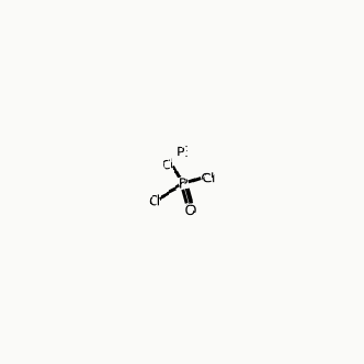 O=P(Cl)(Cl)Cl.[P]